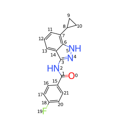 O=C(Nc1n[nH]c2c(C3CC3)cccc12)c1ccc(F)cc1